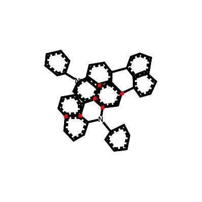 c1ccc(-c2ccccc2N(c2ccccc2)c2cc(-c3ccccc3)c3c(-c4ccccc4)ccc(N(c4ccccc4)c4ccccc4-c4ccccc4)c3c2)cc1